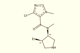 CC[C@@H]1CNC[C@@H]1N(C)C(=O)c1c(Cl)ncn1C